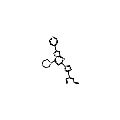 C=C/C=C(\C=C)c1ccn(-c2cc(N3CCOCC3)n3nc(-c4ccncc4)cc3n2)n1